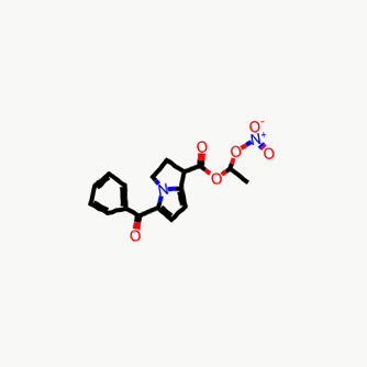 CC(OC(=O)C1CCn2c(C(=O)c3ccccc3)ccc21)O[N+](=O)[O-]